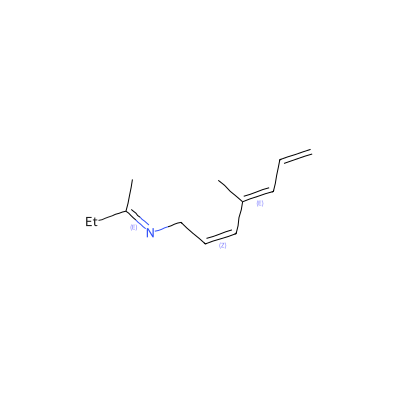 C=C/C=C(C)/C=C\C/N=C(\C)CC